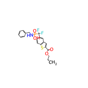 C=CCOC(=O)c1cc2cc(C(F)(F)P(=O)(O)NCc3ccccc3)ccc2s1